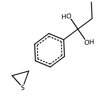 C1CS1.CCC(O)(O)c1ccccc1